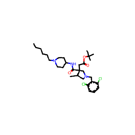 CCCCCCN1CCC(NC(=O)C2(CC(=O)OC(C)(C)C)CN(Cc3c(Cl)cccc3Cl)CC2C)CC1